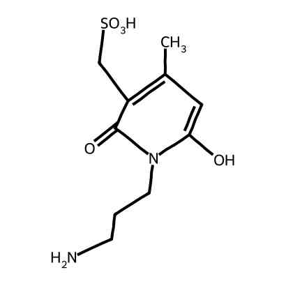 Cc1cc(O)n(CCCN)c(=O)c1CS(=O)(=O)O